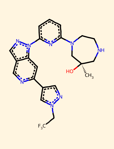 C[C@@]1(O)CNCCN(c2cccc(-n3ncc4cnc(-c5cnn(CC(F)(F)F)c5)cc43)n2)C1